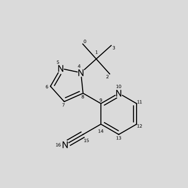 CC(C)(C)n1nccc1-c1ncccc1C#N